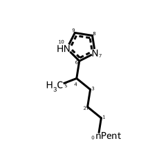 CCCCCC[CH]CC(C)c1ncc[nH]1